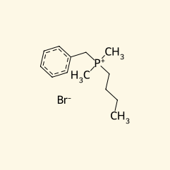 CCCC[P+](C)(C)Cc1ccccc1.[Br-]